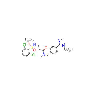 CN(Cc1ccc(C2=NCCN2C(=O)O)cc1)C(=O)CCN(CC(F)(F)F)S(=O)(=O)c1c(Cl)cccc1Cl